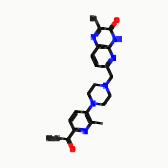 CCc1nc2ccc(CN3CCN(c4ccc(C(=O)NC)nc4C)CC3)nc2[nH]c1=O